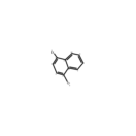 CCc1ccc([O])c2ccccc12